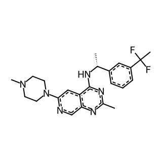 Cc1nc(N[C@H](C)c2cccc(C(C)(F)F)c2)c2cc(N3CCN(C)CC3)ncc2n1